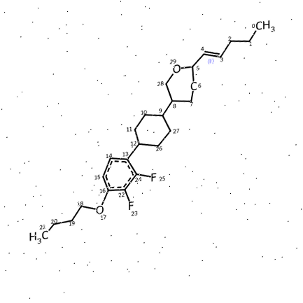 CCC/C=C/C1CCC(C2CCC(c3ccc(OCCCC)c(F)c3F)CC2)CO1